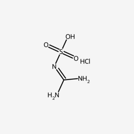 Cl.NC(N)=NS(=O)(=O)O